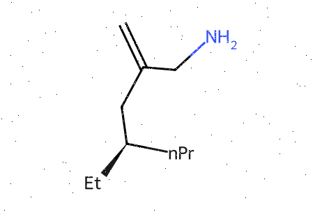 C=C(CN)C[C@H](CC)CCC